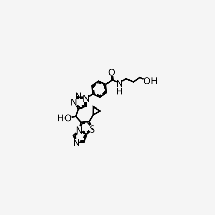 O=C(NCCCO)c1ccc(-n2cc(C(O)c3c(C4CC4)sc4cncn34)nn2)cc1